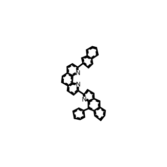 c1ccc(-c2c3ccccc3cc3ccc(-c4ccc5ccc6ccc(-c7ccc8ccccc8c7)nc6c5n4)nc23)cc1